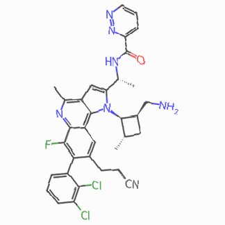 Cc1nc2c(F)c(-c3cccc(Cl)c3Cl)c(CCC#N)cc2c2c1cc([C@@H](C)NC(=O)c1cccnn1)n2[C@H]1[C@@H](CN)C[C@@H]1C